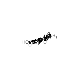 CC(=O)[NH+]([O-])C[C@@H]1CN(c2ccc(N3CC4CN(C(=O)CO)CC4C3)c(F)c2)C(=O)O1